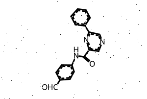 O=Cc1ccc(NC(=O)c2cncc(-c3ccccc3)n2)cc1